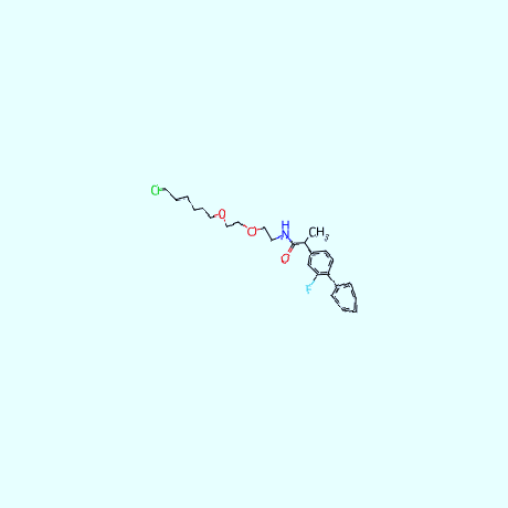 CC(C(=O)NCCOCCOCCCCCCCl)c1ccc(-c2ccccc2)c(F)c1